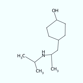 CC(C)NC(C)CC1CCC(O)CC1